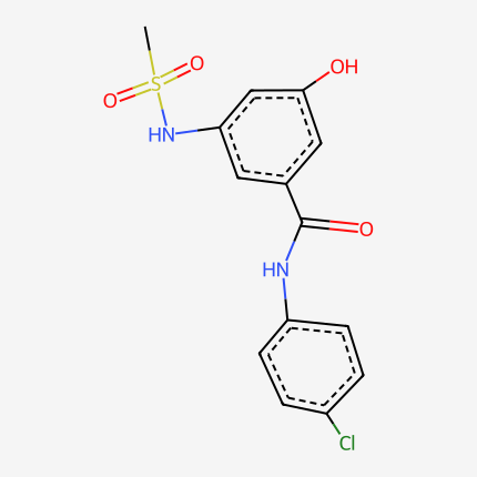 CS(=O)(=O)Nc1cc(O)cc(C(=O)Nc2ccc(Cl)cc2)c1